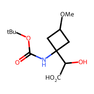 COC1CC(NC(=O)OC(C)(C)C)(C(O)C(=O)O)C1